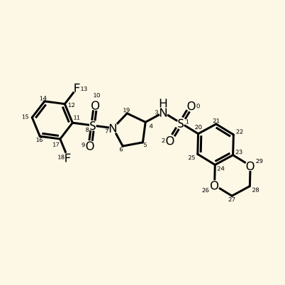 O=S(=O)(NC1CCN(S(=O)(=O)c2c(F)cccc2F)C1)c1ccc2c(c1)OCCO2